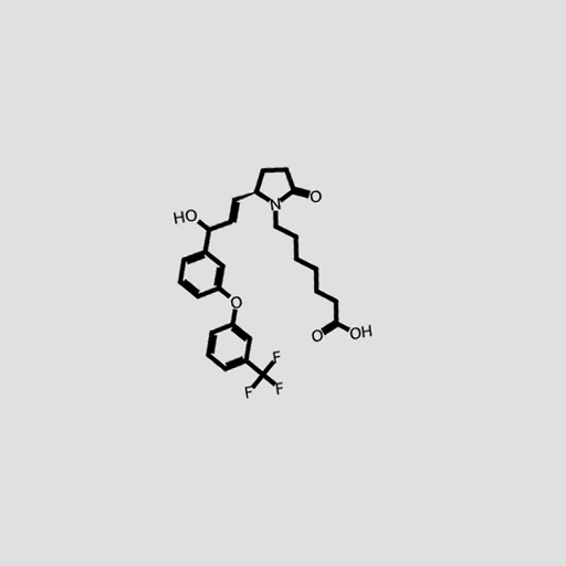 O=C(O)CCCCCCN1C(=O)CC[C@@H]1/C=C/C(O)c1cccc(Oc2cccc(C(F)(F)F)c2)c1